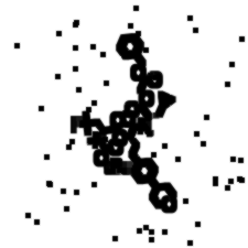 CN(C(=O)OC(C)(C)C)[C@@H](CC(C)(C)F)C(=O)O[C@H](CCc1ccc(C2CCOCC2)cc1)C(=O)N(C)[C@@H](CC1CC1)C(=O)OCC(=O)OCc1ccccc1